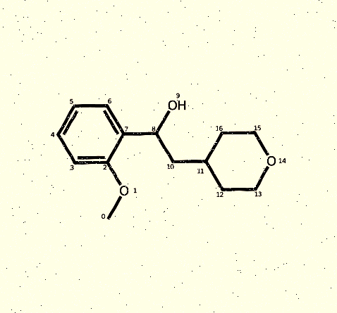 COc1ccccc1C(O)CC1CCOCC1